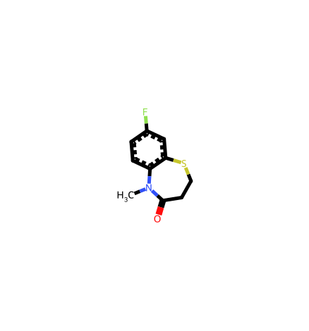 CN1C(=O)CCSc2cc(F)ccc21